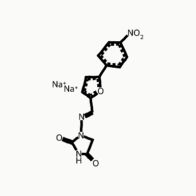 O=C1CN(N=Cc2ccc(-c3ccc([N+](=O)[O-])cc3)o2)C(=O)N1.[Na+].[Na+]